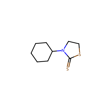 S=C1SCCN1C1CCCCC1